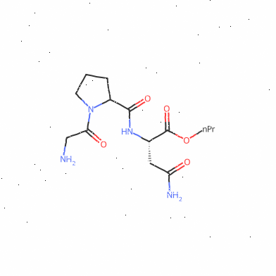 CCCOC(=O)[C@H](CC(N)=O)NC(=O)C1CCCN1C(=O)CN